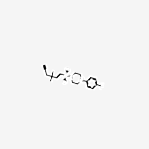 C#CCC(C)(C)C=CS(=O)(=O)N1CCN(c2ccc(F)cc2)CC1